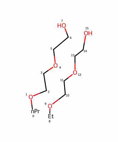 CCCOCCOCCO.CCOCCOCCO